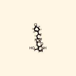 O=c1[nH]ncc(CO)c1Cc1nc(CC(F)c2ccc(Cl)cc2)no1